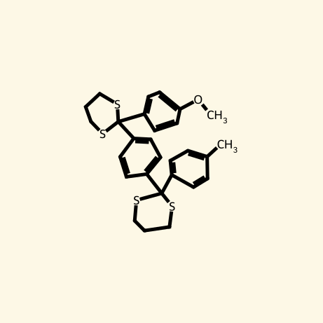 COc1ccc(C2(c3ccc(C4(c5ccc(C)cc5)SCCCS4)cc3)SCCCS2)cc1